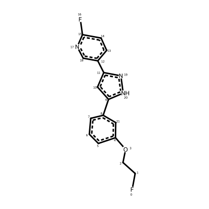 FCCOc1cccc(-c2cc(-c3ccc(F)nc3)n[nH]2)c1